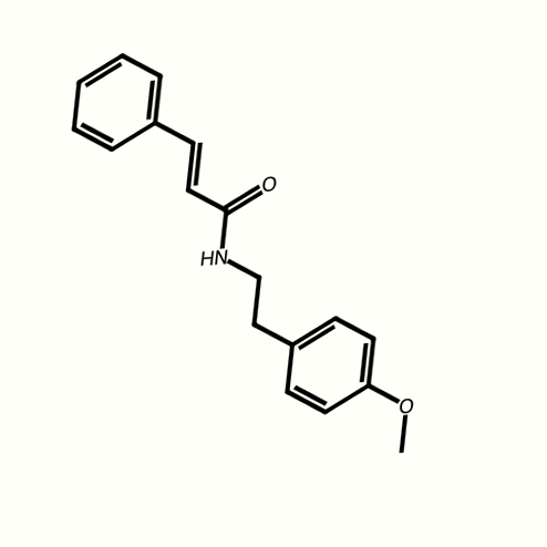 COc1ccc(CCNC(=O)/C=C/c2ccccc2)cc1